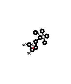 N#Cc1cccc(-c2cc(C#N)ccc2-n2c3ccccc3c3cc(-c4cc5c6c(c4)N(c4ccccc4)c4ccccc4B6c4ccccc4N5c4ccccc4)ccc32)c1